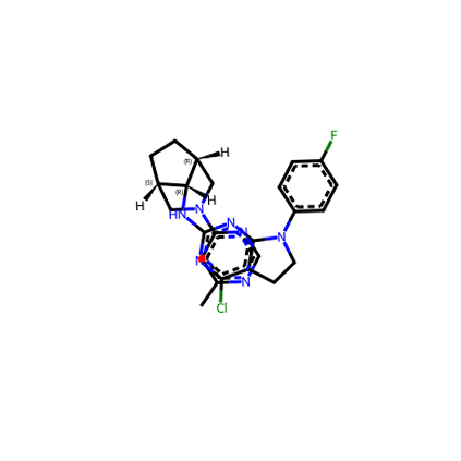 Cc1cc(N2C[C@H]3CC[C@@H](C2)[C@H]3Nc2nc(Cl)c3c(n2)N(c2ccc(F)cc2)CC3)ncn1